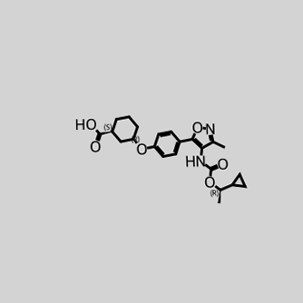 Cc1noc(-c2ccc(O[C@@H]3CCC[C@H](C(=O)O)C3)cc2)c1NC(=O)O[C@H](C)C1CC1